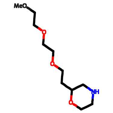 COCCOCCOCCC1CNCCO1